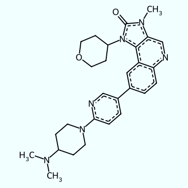 CN(C)C1CCN(c2ccc(-c3ccc4ncc5c(c4c3)n(C3CCOCC3)c(=O)n5C)cn2)CC1